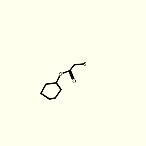 O=C(C[S])OC1CCCCC1